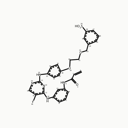 C=CC(=O)Nc1cccc(Nc2nc(Nc3ccc(OCCOCc4cccc(S(=O)(=O)O)c4)cc3)ncc2F)c1